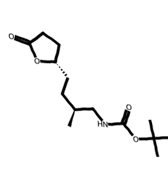 C[C@@H](CC[C@H]1CCC(=O)O1)CNC(=O)OC(C)(C)C